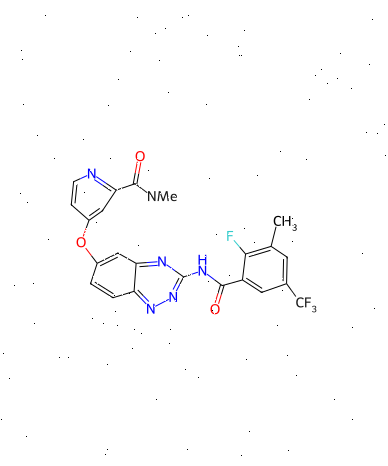 CNC(=O)c1cc(Oc2ccc3nnc(NC(=O)c4cc(C(F)(F)F)cc(C)c4F)nc3c2)ccn1